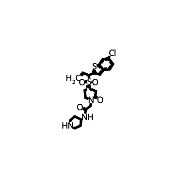 C=CC(c1cc2ccc(Cl)cc2s1)S(=O)(=O)N1CCN(CC(=O)NC2CCNCC2)C(=O)C1